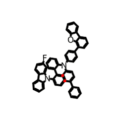 Fc1ccc2c3ccccc3n(-c3ccccc3-c3ccccc3N(c3ccc(-c4ccccc4)cc3)c3ccc(-c4cccc5c4oc4ccccc45)cc3)c2c1